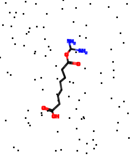 NC(N)OC(=O)CCCCCCC(=O)O